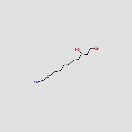 NCCCCCCCCCC(O)CCO